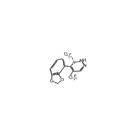 ClC(Cl)(Cl)C1=C(c2cccc3c2OCO3)N(C(Cl)(Cl)Cl)NN=C1